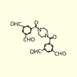 O=Cc1cc(C=O)cc(C(=O)N2CCN(C(=O)c3cc(C=O)cc(C=O)c3)CC2)c1